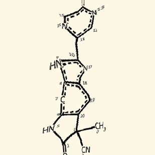 CC1(C#N)C(=O)Nc2cc3[nH]c(-c4cnccn4)nc3cc21